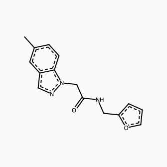 Cc1ccc2c(cnn2CC(=O)NCc2ccco2)c1